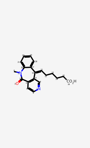 CN1C(=O)c2ccncc2C(=CCCCCC(=O)O)c2ccccc21